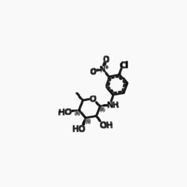 CC1O[C@@H](Nc2ccc(Cl)c([N+](=O)[O-])c2)C(O)[C@@H](O)[C@H]1O